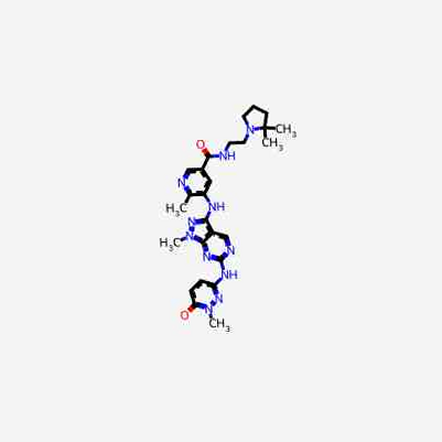 Cc1ncc(C(=O)NCCN2CCCC2(C)C)cc1Nc1nn(C)c2nc(Nc3ccc(=O)n(C)n3)ncc12